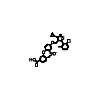 Cc1cccc(Cl)c1-c1noc(C2CC2)c1COc1ccc2c(c1)[S+]([O-])Cc1ccc(C(=O)O)cc1O2